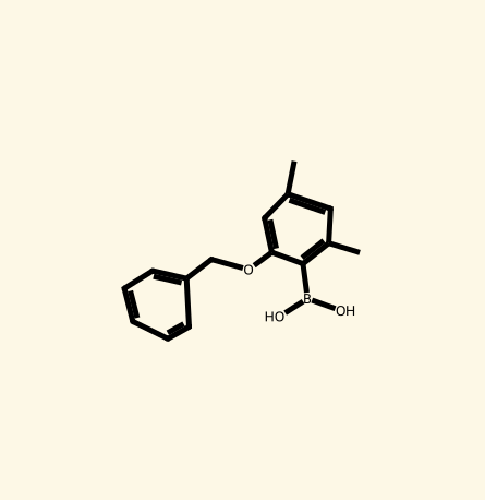 Cc1cc(C)c(B(O)O)c(OCc2ccccc2)c1